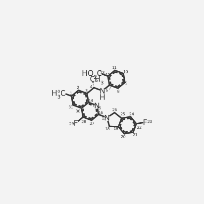 Cc1cc([C@H](C)Nc2ccccc2C(=O)O)c2nc(N3Cc4ccc(F)cc4C3)cc(F)c2c1